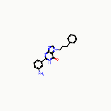 Nc1cccc(-c2nc3ncn(CCCc4ccccc4)c3c(=O)[nH]2)c1